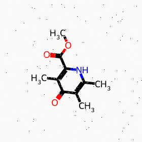 COC(=O)c1[nH]c(C)c(C)c(=O)c1C